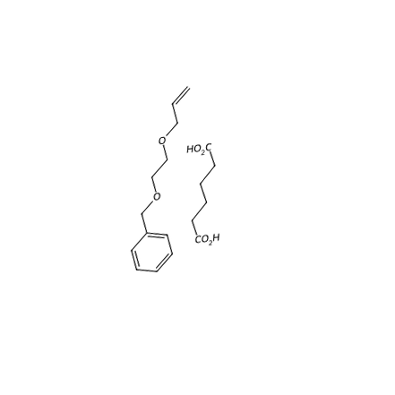 C=CCOCCOCc1ccccc1.O=C(O)CCCCC(=O)O